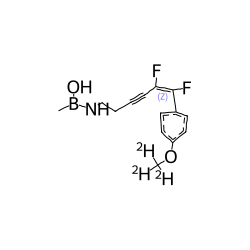 [2H]C([2H])([2H])Oc1ccc(/C(F)=C(/F)C#CCCNB(C)O)cc1